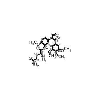 COc1ccc(-c2cnsc2-c2cc(OC)c(OC)c(OC)c2)cc1NC(=O)[C@H](N)CCC(N)=O